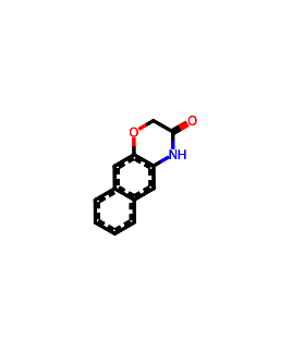 O=C1COc2cc3ccccc3cc2N1